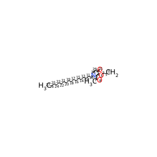 C=CCOc1c(C(C)=O)n(CCCCCCCCCCCCCCCCCC)ccc1=O